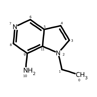 CCn1ccc2cncc(N)c21